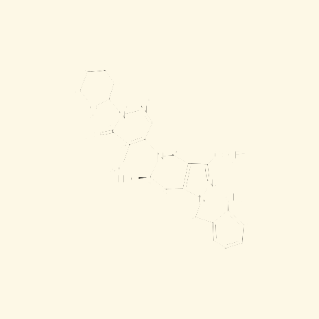 CCOC(=O)c1nn(Cc2ccccc2C(F)(F)F)c2c1CN(c1cnn(C3CCCCO3)c(=O)c1Cl)[C@H](C)C2